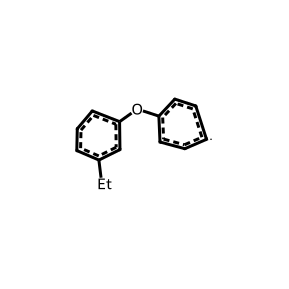 CCc1cccc(Oc2cc[c]cc2)c1